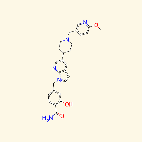 COc1ccc(CN2CCC(c3cnc4c(ccn4Cc4ccc(C(N)=O)c(O)c4)c3)CC2)cn1